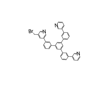 BrCc1cncc(-c2cccc(-c3cc(-c4cccc(-c5cccnc5)c4)cc(-c4cccc(-c5cccnc5)c4)c3)c2)c1